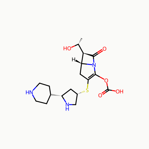 C[C@@H](O)[C@H]1C(=O)N2C(OC(=O)O)=C(S[C@@H]3CN[C@H](C4CCNCC4)C3)C[C@H]12